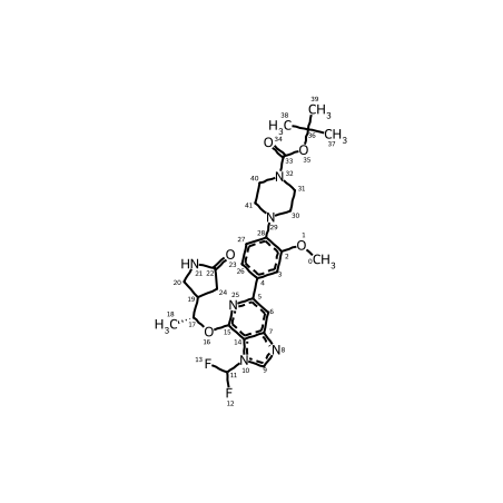 COc1cc(-c2cc3ncn(C(F)F)c3c(O[C@H](C)C3CNC(=O)C3)n2)ccc1N1CCN(C(=O)OC(C)(C)C)CC1